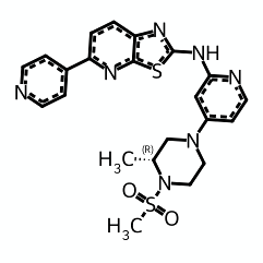 C[C@@H]1CN(c2ccnc(Nc3nc4ccc(-c5ccncc5)nc4s3)c2)CCN1S(C)(=O)=O